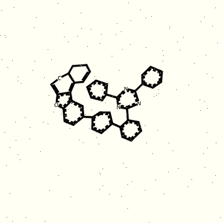 C1=CC2=c3c(oc4ccc(-c5ccc(-c6ccccc6-c6nc(-c7ccccc7)nc(-c7ccccc7)n6)cc5)cc34)=CCC2CC1